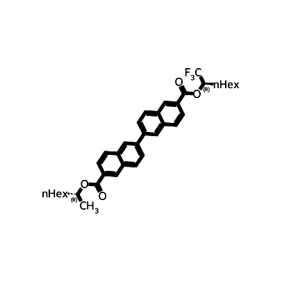 CCCCCC[C@@H](C)OC(=O)c1ccc2cc(-c3ccc4cc(C(=O)O[C@H](CCCCCC)C(F)(F)F)ccc4c3)ccc2c1